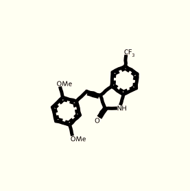 COc1ccc(OC)c(C=C2C(=O)Nc3ccc(C(F)(F)F)cc32)c1